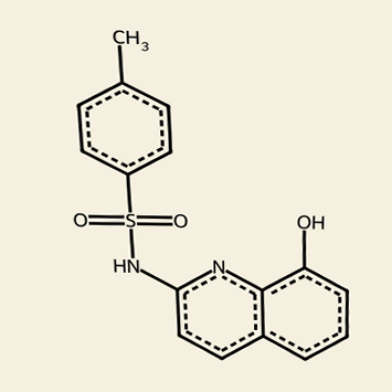 Cc1ccc(S(=O)(=O)Nc2ccc3cccc(O)c3n2)cc1